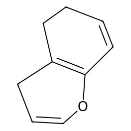 C1=CC2=C(CC=CO2)CC1